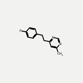 Cc1cc(CCc2ccc(F)cc2)ncn1